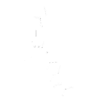 Cl.N=C(N)c1ccc2cc(OC(=O)c3ccc(CNC(=O)CCC(=O)O)o3)ccc2c1.[AlH3]